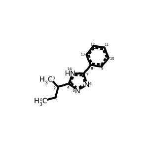 CCC(C)c1nnc(-c2ccccc2)[nH]1